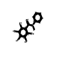 CN(C(=O)c1c(F)c(F)c(F)c(F)c1F)c1cc[c]cc1